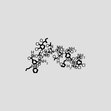 C=C(CC)C(=O)c1ccc(OCC(=O)O)c(Cl)c1Cl.CC(=O)/N=c1\sc(S(N)(=O)=O)nn1C.CC(=O)Nc1nnc(S(N)(=O)=O)s1.CCCCNc1cc(C(=O)O)cc(S(N)(=O)=O)c1Oc1ccccc1.NS(=O)(=O)c1cc(C(=O)O)c(NCc2ccco2)cc1Cl.NS(=O)(=O)c1cc(Cl)c(Cl)c(S(N)(=O)=O)c1